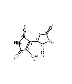 O=C1CC(C2=C(O)C(=O)NC2=O)C(=O)[N]1